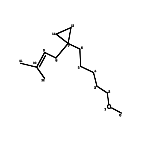 COCCCCCC1(CC=C(C)C)CC1